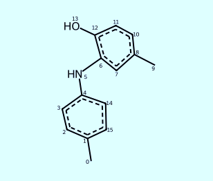 Cc1ccc(Nc2cc(C)ccc2O)cc1